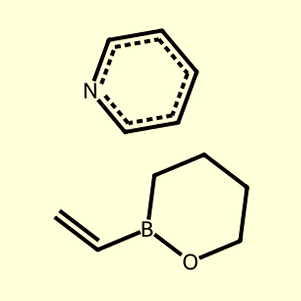 C=CB1CCCCO1.c1ccncc1